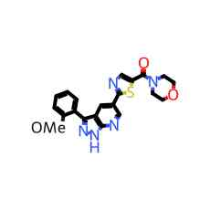 COc1ccccc1-c1n[nH]c2ncc(-c3ncc(C(=O)N4CCOCC4)s3)cc12